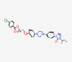 CCC(C)n1ncn(-c2ccc(N3CCN(c4ccc(OC[C@@H]5CO[C@@H](c6ccc(Cl)cc6)O5)cc4)CC3)cc2)c1=O